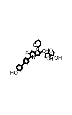 Oc1ccc(-c2ccc(-c3nc4cc(O[C@@H]5CO[C@H]6[C@@H]5OC[C@H]6O)n(C5CCCCO5)c4cc3F)cc2)cc1